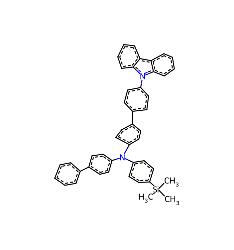 C[Si](C)(C)c1ccc(N(c2ccc(-c3ccccc3)cc2)c2ccc(-c3ccc(-n4c5ccccc5c5ccccc54)cc3)cc2)cc1